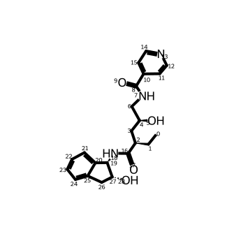 CC[C@H](C[C@H](O)CNC(=O)c1ccncc1)C(=O)N[C@H]1c2ccccc2C[C@H]1O